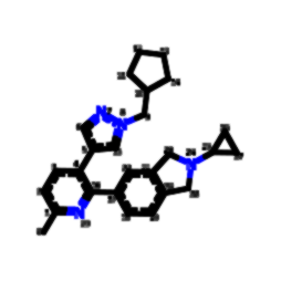 Cc1ccc(-c2cnn(CC3CCCC3)c2)c(-c2ccc3c(c2)CN(C2CC2)C3)n1